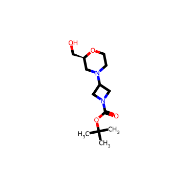 CC(C)(C)OC(=O)N1CC(N2CCO[C@H](CO)C2)C1